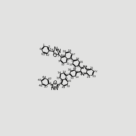 c1ccc(-c2nnc(-c3cccc4c(-c5ccc(-c6nc7ccccc7nc6-c6ccc(-c7cccc8c(-c9nnc(-c%10ccccc%10)o9)cccc78)cc6)cc5)cccc34)o2)cc1